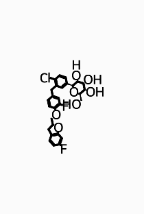 OC[C@H]1O[C@@H](c2ccc(Cl)c(Cc3ccc(OCC4Cc5ccc(F)cc5O4)c(F)c3)c2)[C@H](O)[C@@H](O)[C@@H]1O